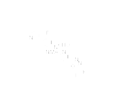 CNc1cc(-c2cccnc2)c(F)cc1N(C=O)Cc1ccc(-c2nnc(C(F)F)o2)cn1